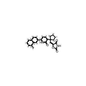 O=C1NC(=O)C(=CC2(c3ccc(-c4ccc5cccc(F)c5c4)[nH]c3=O)CCCC2)O1